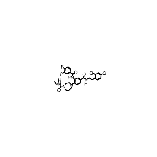 CCNC(=O)N1CCCN(c2ccc(C(=O)NCCc3ccc(Cl)cc3Cl)cc2NC(=O)c2ccc(F)c(F)c2)CC1